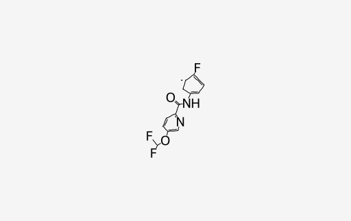 O=C(NC1=CC=C(F)[CH]C1)c1ccc(OC(F)F)cn1